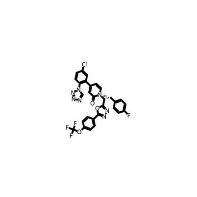 O=c1cc(-c2cc(Cl)ccc2-n2cnnn2)ccn1[C@H](Cc1ccc(F)cc1)c1nnc(-c2ccc(OC(F)(F)F)cc2)o1